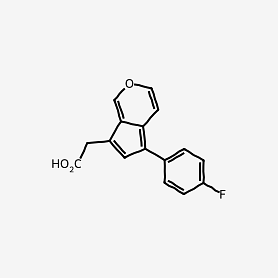 O=C(O)Cc1cc(-c2ccc(F)cc2)c2ccocc1-2